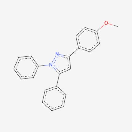 COc1ccc(-c2cc(-c3ccccc3)n(-c3ccccc3)n2)cc1